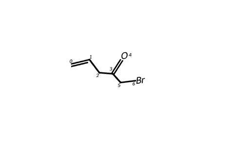 C=CCC(=O)CBr